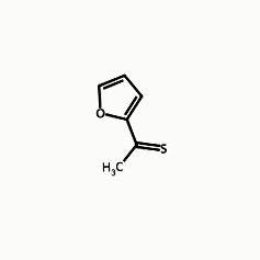 CC(=S)c1ccco1